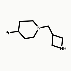 CC(C)C1CCN(CC2CNC2)CC1